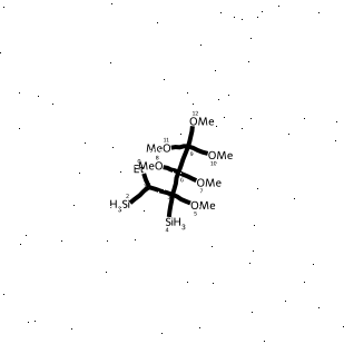 CCC([SiH3])C([SiH3])(OC)C(OC)(OC)C(OC)(OC)OC